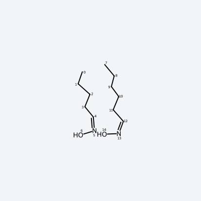 CCCC/C=N\O.CCCCC/C=N\O